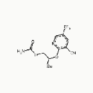 CC(C)(C)C(COC(N)=O)Oc1ncc(C(F)(F)F)cc1C#N